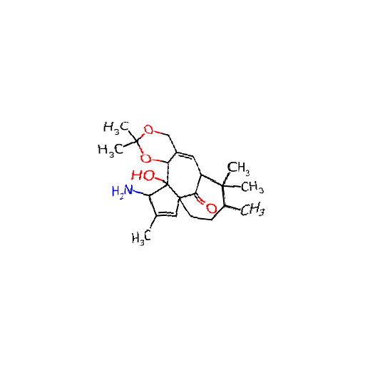 CC1=CC23CCC(C)C(C)(C)C(C=C4COC(C)(C)OC4C2(O)C1N)C3=O